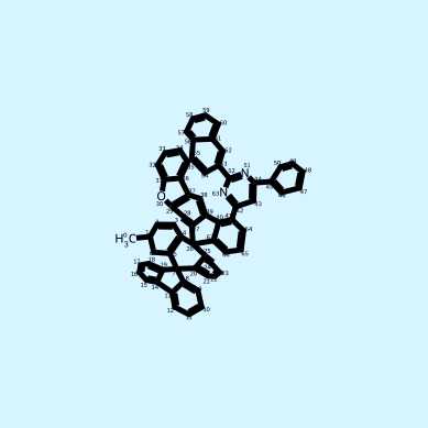 CC1C=CC2=C(C1)C1(c3ccccc3-c3ccccc31)c1ccccc1C21c2cc3oc4ccccc4c3cc2-c2c(-c3cc(-c4ccccc4)nc(-c4ccc5ccccc5c4)n3)cccc21